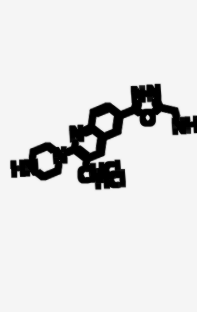 Cl.Cl.NCc1nnc(-c2ccc3nc(N4CCNCC4)c(Cl)cc3c2)o1